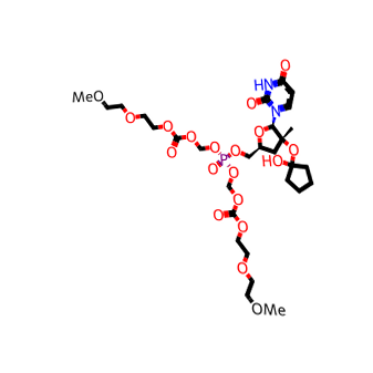 COCCOCCOC(=O)OCOP(=O)(OCOC(=O)OCCOCCOC)OC[C@@H]1C[C@@](C)(OC2(O)CCCC2)[C@H](n2ccc(=O)[nH]c2=O)O1